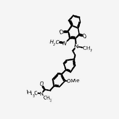 C=NC1=C(N(C)CCc2ccc(-c3ccc(CC(=O)N(C)C)cc3OC)cc2)C(=O)c2ccccc2C1=O